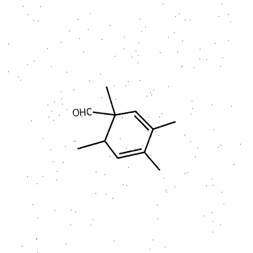 CC1=CC(C)C(C)(C=O)C=C1C